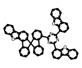 c1ccc2c(c1)-c1c(-c3nc(-c4cccc5c4oc4ccccc45)nc(-c4cccc5c4oc4ccccc45)n3)cccc1C21c2ccccc2-c2c1ccc1c2oc2ccccc21